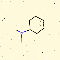 CN(F)C1CCCCC1